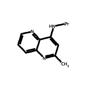 Cc1cc(NC(C)C)c2ncccc2n1